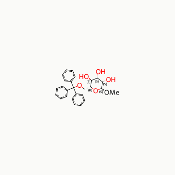 CO[C@H]1O[C@H](COC(c2ccccc2)(c2ccccc2)c2ccccc2)[C@@H](O)[C@H](O)[C@@H]1O